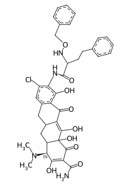 CN(C)[C@@H]1C(O)=C(C(N)=O)C(=O)C2(O)C(O)=C3C(=O)c4c(cc(Cl)c(NC(=O)C(CCc5ccccc5)NOCc5ccccc5)c4O)CC3CC12